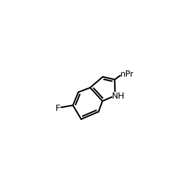 CCCc1cc2cc(F)ccc2[nH]1